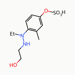 CCN(NCCO)c1ccc(OS(=O)(=O)O)cc1C